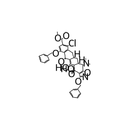 COC(OC)c1cc(OCc2ccccc2)c2c(c1Cl)C[C@H]1C[C@H]3[C@H](N(C)C)c4onc(OCc5ccccc5)c4C(=O)[C@@]3(O)C(O)=C1C2=O